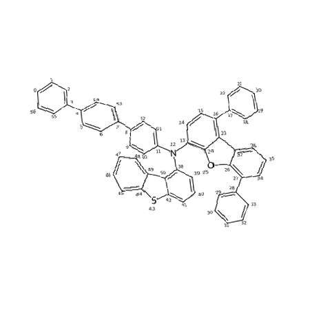 c1ccc(-c2ccc(-c3ccc(N(c4ccc(-c5ccccc5)c5c4oc4c(-c6ccccc6)cccc45)c4cccc5sc6ccccc6c45)cc3)cc2)cc1